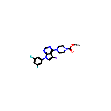 CC(C)(C)OC(=O)N1CCN(c2ncnc3c2c(I)cn3-c2cc(F)cc(F)c2)CC1